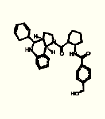 O=C(N[C@@H]1CCCC[C@@H]1C(=O)N1CC[C@@H]2[C@H](C3C=CC=CC3)Nc3ccccc3[C@@H]21)c1ccc(CO)cc1